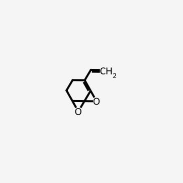 C=CC1=C2OC23OC3CC1